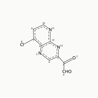 O=CC(=O)c1cnc2c(Cl)ccnc2n1